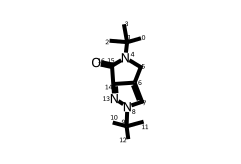 CC(C)(C)N1Cc2cn(C(C)(C)C)nc2C1=O